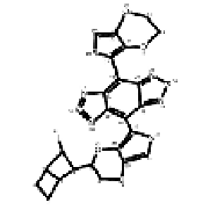 IC1C2CCC2C1C1COc2csc(-c3c4c(c(-c5scc6c5OCCO6)c5nsnc35)N=S=N4)c2O1